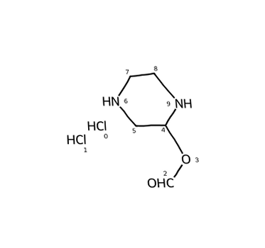 Cl.Cl.O=COC1CNCCN1